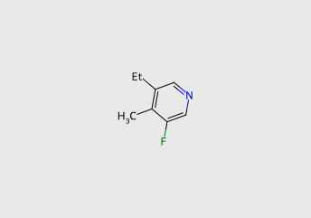 CCc1cncc(F)c1C